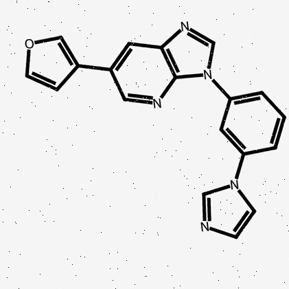 c1cc(-n2ccnc2)cc(-n2cnc3cc(-c4ccoc4)cnc32)c1